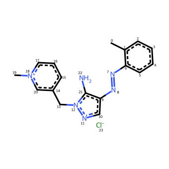 Cc1ccccc1N=Nc1cnn(Cc2ccc[n+](C)c2)c1N.[Cl-]